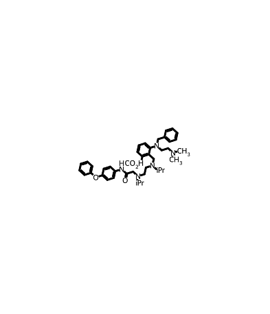 CC(C)N(CCN(Cc1c(C(=O)O)cccc1N(CCN(C)C)Cc1ccccc1)C(C)C)CC(=O)Nc1ccc(Oc2ccccc2)cc1